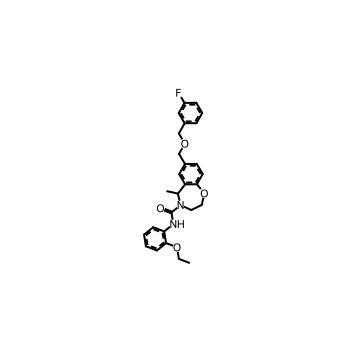 CCOc1ccccc1NC(=O)N1CCOc2ccc(COCc3cccc(F)c3)cc2C1C